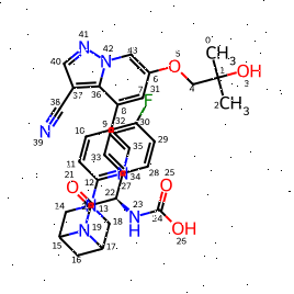 CC(C)(O)COc1cc(-c2ccc(N3CC4CC(C3)N4C(=O)[C@H](NC(=O)O)c3ccc(F)cc3)nc2)c2c(C#N)cnn2c1